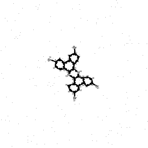 Brc1ccc2c(c1)c1cc(Br)ccc1c1nc3c4ccc(Br)cc4c4cc(Br)ccc4c3nc21